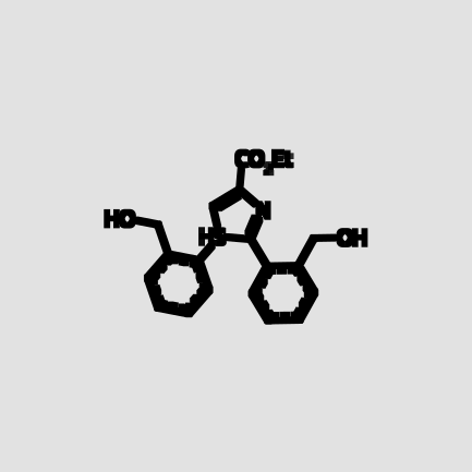 CCOC(=O)C1=C[SH](c2ccccc2CO)C(c2ccccc2CO)=N1